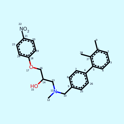 Cc1cccc(-c2ccc(CN(C)CC(O)COc3ccc([N+](=O)[O-])cc3)cc2)c1C